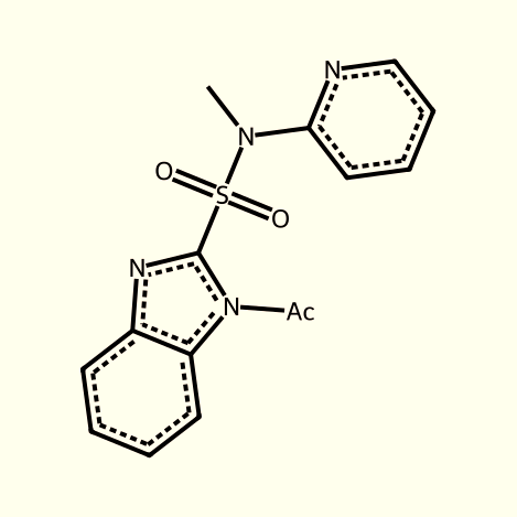 CC(=O)n1c(S(=O)(=O)N(C)c2ccccn2)nc2ccccc21